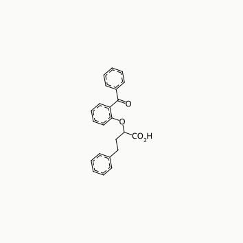 O=C(c1ccccc1)c1ccccc1OC(CCc1ccccc1)C(=O)O